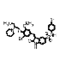 CCC(COc1c(Br)cc(C=C2C(=O)Nc3ccc(S(=O)(=O)Nc4ccc(Br)cc4)cc32)cc1OC)N1CCCCC1